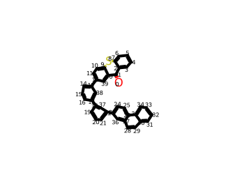 O=c1c2ccccc2sc2ccc(-c3cccc(-c4cccc(-c5ccc6c(ccc7ccccc76)c5)c4)c3)cc12